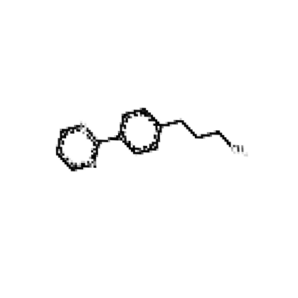 CCCCc1ccc(-c2ncccn2)cc1